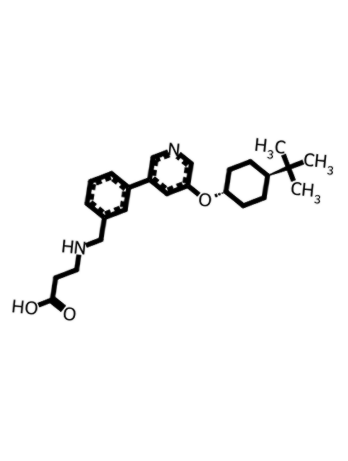 CC(C)(C)[C@H]1CC[C@H](Oc2cncc(-c3cccc(CNCCC(=O)O)c3)c2)CC1